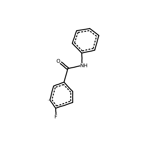 O=C(Nc1ccccc1)c1c[c]c(F)cc1